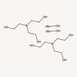 CCCCO.CCCCO.OCCN(CCO)CCO.OCCN(CCO)CCO